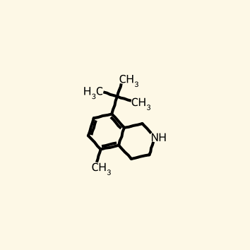 Cc1ccc(C(C)(C)C)c2c1CCNC2